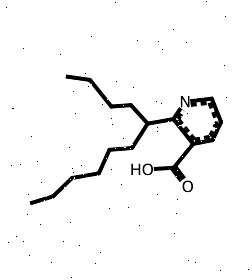 CCCCCCC(CCCC)c1ncccc1C(=O)O